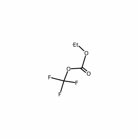 C[CH]OC(=O)OC(F)(F)F